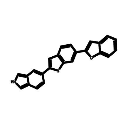 c1ccc2oc(-c3ccc4cc(-c5ccc6c[nH]cc6c5)sc4c3)cc2c1